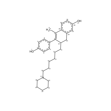 CC1=C(c2ccc(O)cc2)C(CCCCCCN2CCCCC2)Cc2cc(O)ccc21